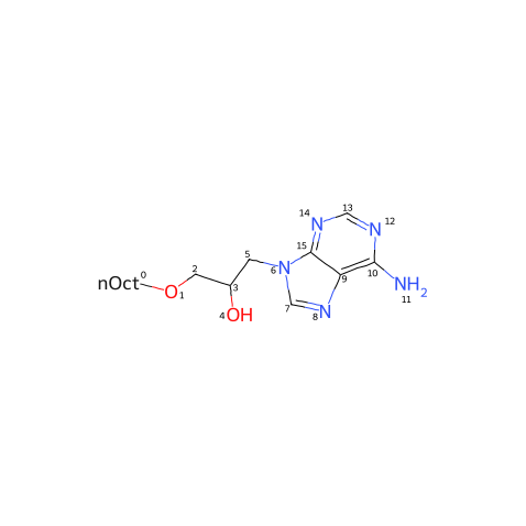 CCCCCCCCOCC(O)Cn1cnc2c(N)ncnc21